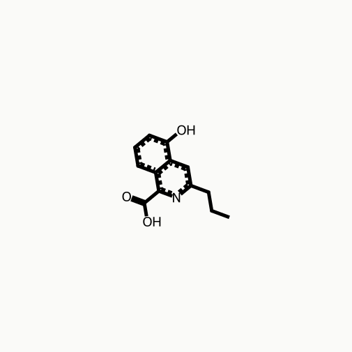 CCCc1cc2c(O)cccc2c(C(=O)O)n1